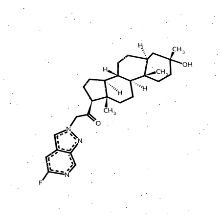 C[C@@]1(O)CC[C@@]2(C)[C@@H](CC[C@@H]3[C@@H]2CC[C@]2(C)[C@@H](C(=O)Cn4cc5cc(F)ncc5n4)CC[C@@H]32)C1